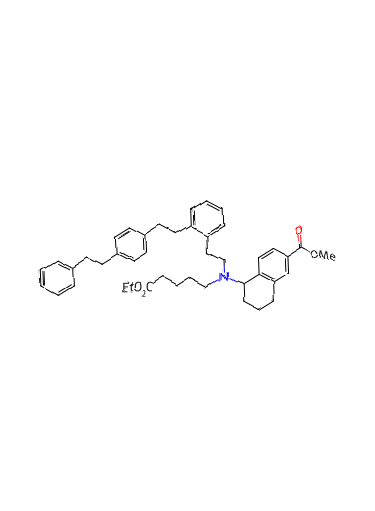 CCOC(=O)CCCCN(CCc1ccccc1CCc1ccc(CCc2ccccc2)cc1)C1CCCc2cc(C(=O)OC)ccc21